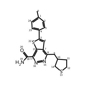 Cc1ccc(-c2cc3c(CC4CCSC4)nnc(C(N)=O)c3s2)cc1